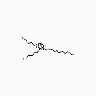 CCCCCCCCCCCC[n+]1ccn(CCCCCC)c1CCCCCCC